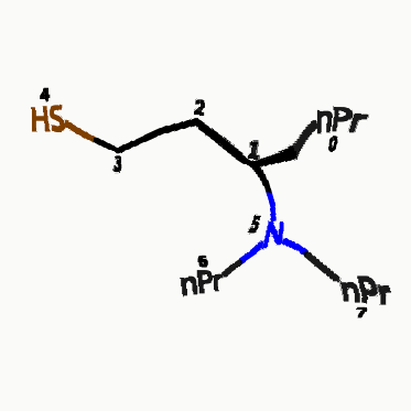 CCCC(CCS)N(CCC)CCC